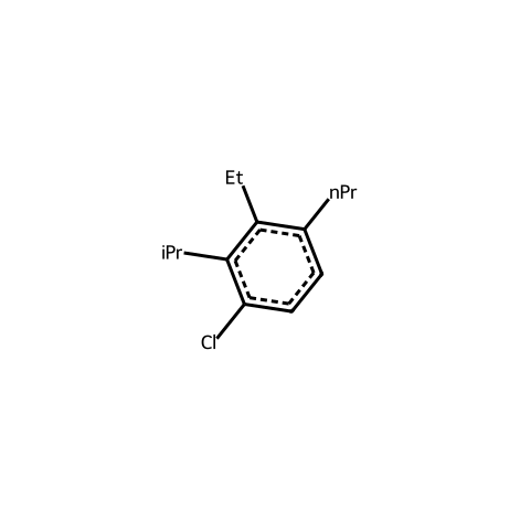 CCCc1ccc(Cl)c(C(C)C)c1CC